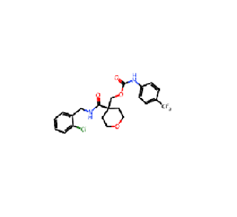 O=C(Nc1ccc(C(F)(F)F)cc1)OCC1(C(=O)NCc2ccccc2Cl)CCOCC1